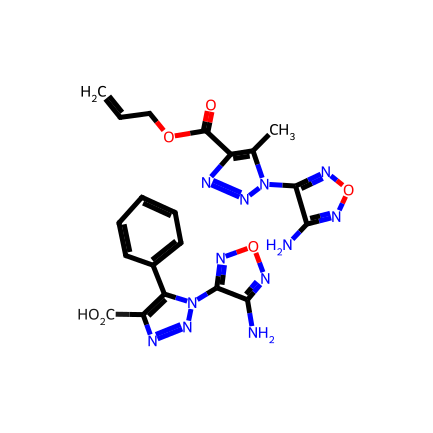 C=CCOC(=O)c1nnn(-c2nonc2N)c1C.Nc1nonc1-n1nnc(C(=O)O)c1-c1ccccc1